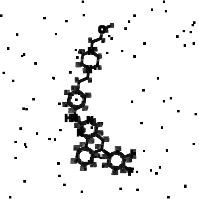 COCCN1CCN(CCc2ccc(Nc3ncc4c(n3)-c3ccccc3[C@H](c3ccc(F)c(F)c3)C4)cc2)CC1